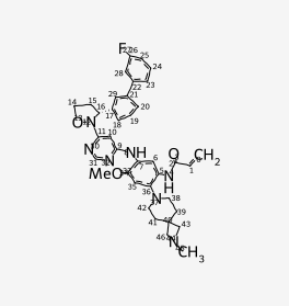 C=CC(=O)Nc1cc(Nc2cc(N3OCC[C@@H]3c3cccc(-c4cccc(F)c4)c3)ncn2)c(OC)cc1N1CCC2(CC1)CN(C)C2